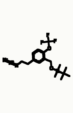 CC(C)(C)[Si](C)(C)OCc1cc(CCN=[N+]=[N-])ccc1OC(F)(F)F